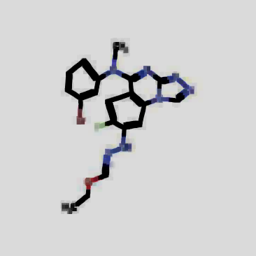 CCO/C=N/Nc1cc2c(cc1F)c(N(C)c1cccc(Br)c1)nc1nncn12